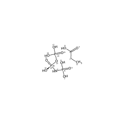 CCC(=O)O.O=P(O)(O)N[P@@](=O)(O)OP(=O)(O)O